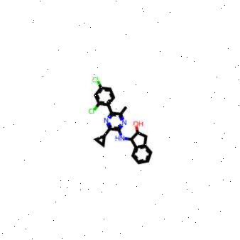 Cc1nc(NC2c3ccccc3CC2O)c(C2CC2)nc1-c1ccc(Cl)cc1Cl